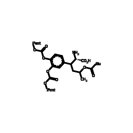 CCCC(C)OC(=O)Oc1ccc(C(CC(C)OC(=O)C(C)CC)[C@H](N)C(=O)O)cc1OC(=O)OC(C)CCC